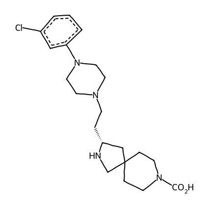 O=C(O)N1CCC2(CC1)CN[C@H](CCN1CCN(c3cccc(Cl)c3)CC1)C2